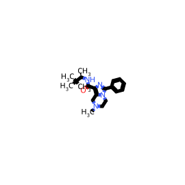 C[C@H](NC(=O)c1nc(-c2ccccc2)n2c1CN(C)CC2)C(C)(C)C